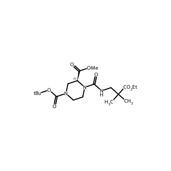 CCOC(=O)C(C)(C)CNC(=O)N1CCN(C(=O)OC(C)(C)C)C[C@H]1C(=O)OC